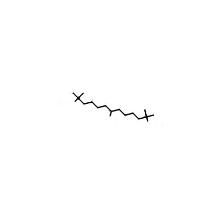 CC(C)(CCCCC(O)CCCCC(C)(C)S(=O)(=O)O)S(=O)(=O)O